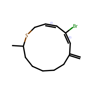 C=C1/C=C(Br)\C=C/CSC(C)CCCCC1